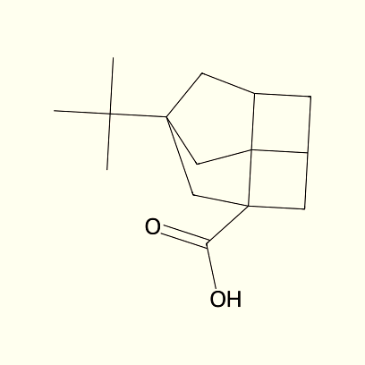 CC(C)(C)C12CC3CC4CC(C(=O)O)(C1)C34C2